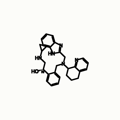 O[C@H](CNC1CC1)c1ccccc1CN(Cc1nc2ccccc2[nH]1)C1CCCc2cccnc21